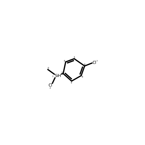 C[SiH](Cl)c1ccc(Cl)cc1